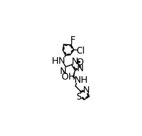 O/N=C(/Nc1ccc(F)c(Cl)c1)c1nonc1CNCc1nccs1